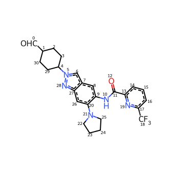 O=CC1CCC(n2cc3cc(NC(=O)c4cccc(C(F)(F)F)n4)c(N4CCCC4)cc3n2)CC1